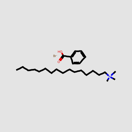 CCCCCCCCCCCCCCCC[N+](C)(C)C.O=C(O)c1ccccc1.[Br-]